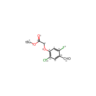 CC(C)(C)OC(=O)COc1cc(F)c(C=O)cc1Cl